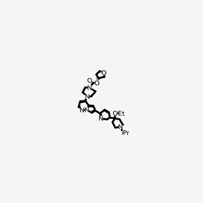 CCOC1(C2C=CC(c3cc4c(N5CCN(C(=O)O[C@@H]6CCOC6)CC5)ccnn4c3)=NC2)CCN(C(C)C)CC1